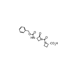 O=C(N[C@H]1CN(C(=O)N2CC[C@H]2C(=O)O)C1=O)OCc1ccccc1